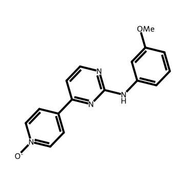 COc1cccc(Nc2nccc(-c3cc[n+]([O-])cc3)n2)c1